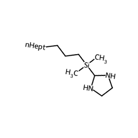 CCCCCCCCCC[Si](C)(C)C1NCCN1